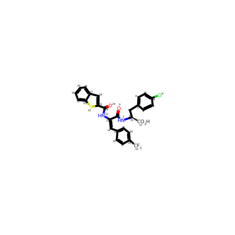 O=C(N[C@@H](Cc1ccc(Cl)cc1)C(=O)O)C(=Cc1ccc(C(F)(F)F)cc1)NC(=O)c1cc2ccccc2s1